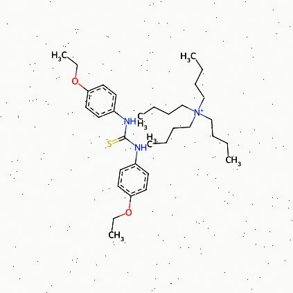 CCCC[N+](CCCC)(CCCC)CCCC.CCOc1ccc(NC(=S)Nc2ccc(OCC)cc2)cc1